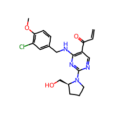 C=CC(=O)c1cnc(N2CCC[C@H]2CO)nc1NCc1ccc(OC)c(Cl)c1